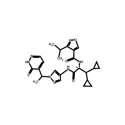 CC(C)c1nocc1C(=O)N[C@H](C(=O)Nc1cnn(C(C)c2ccn[nH]c2=O)c1)C(C1CC1)C1CC1